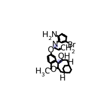 C=C/C(=N\c1cc(Br)ccc1N)Oc1ccc(CC)c(/C2=C(\O)C[C@H]3CC[C@H](CC3)CC2=O)c1